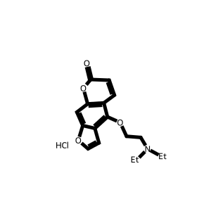 CCN(CC)CCOc1c2ccoc2cc2oc(=O)ccc12.Cl